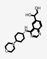 OCC(O)c1ccc2ncnc(N[C@H]3CC[C@H](N4CCOCC4)CC3)c2c1